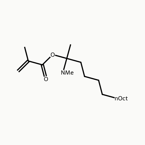 C=C(C)C(=O)OC(C)(CCCCCCCCCCCC)NC